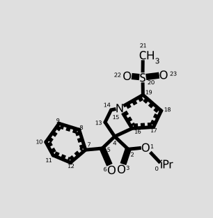 CC(C)OC(=O)C1(C(=O)c2ccccc2)CCn2c1ccc2S(C)(=O)=O